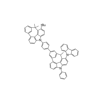 CC1c2cc(-c3ccc(-n4c5cccc6c5c5c(c(C(C)(C)C)ccc54)C(C)(C)c4cccc-6c4)cc3)cc(c2)-c2cccc3c2c2c1c(-n1c4ccccc4c4ccccc41)ccc2n3-c1ccccc1